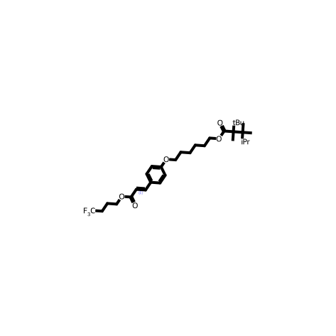 CC(C)C(C)(C)C(C)(C(=O)OCCCCCCOc1ccc(/C=C/C(=O)OCCCC(F)(F)F)cc1)C(C)(C)C